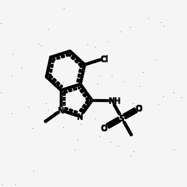 Cn1nc(NS(C)(=O)=O)c2c(Cl)cccc21